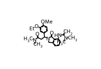 C=C(Nc1cccc2c1C(=O)N(C(CC(=O)N(C)C)c1ccc(OC)c(OCC)c1)C2)N(C)C